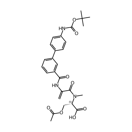 C=C(NC(=O)c1cccc(-c2ccc(NC(=O)OC(C)(C)C)cc2)c1)C(=O)N(C)[C@@H](COC(C)=O)C(=O)O